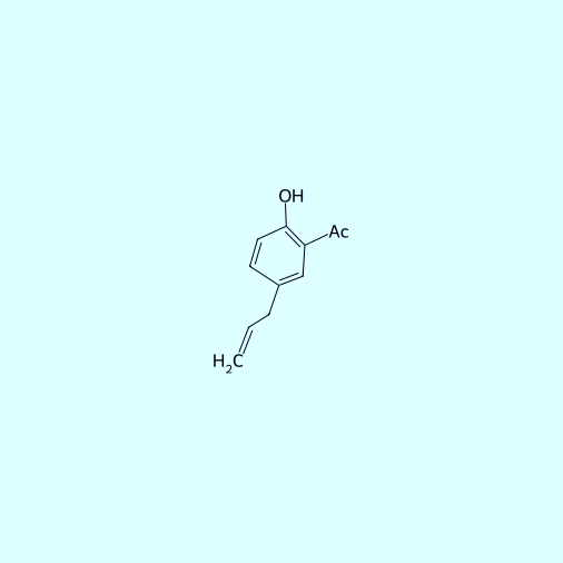 C=CCc1ccc(O)c(C(C)=O)c1